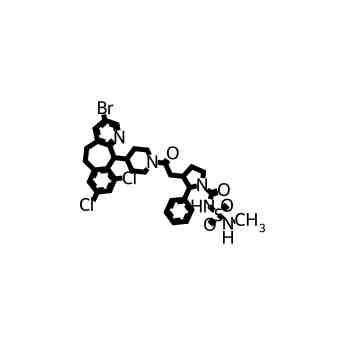 CNS(=O)(=O)NC(=O)N1CCC(CC(=O)N2CCC(C3c4ncc(Br)cc4CCc4cc(Cl)cc(Cl)c43)CC2)C1c1ccccc1